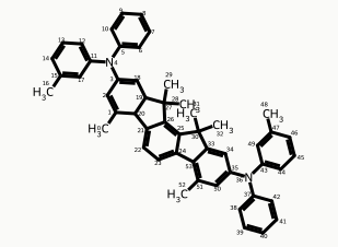 CC1=CC(N(c2ccccc2)c2cccc(C)c2)=CC2C1c1ccc3c(c1C2(C)C)C(C)(C)c1cc(N(c2ccccc2)c2cccc(C)c2)cc(C)c1-3